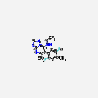 Cc1cc(F)c(-c2c(C#N)nc3ncnn3c2NCC(F)(F)F)cc1F